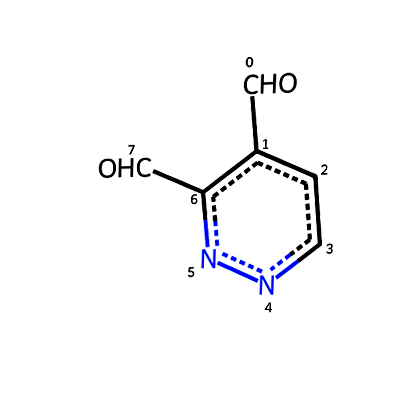 O=Cc1ccnnc1C=O